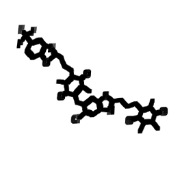 CC1=C(C)C(=O)C(CCCc2nc3cc(Cl)c(CC4=C(C)C(=O)C(CCCc5nc6cc(C(F)(F)F)ccc6o5)=C(C)C4=O)cc3s2)=C(C)C1=O